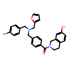 O=C(c1ccc(CN(Cc2ccc(Br)cc2)Cc2ccco2)cc1)N1CCc2ccc(O)cc2C1